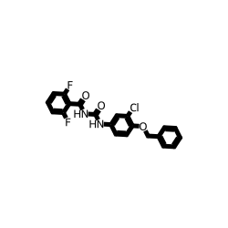 O=C(NC(=O)c1c(F)cccc1F)Nc1ccc(OCc2ccccc2)c(Cl)c1